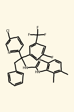 Cc1ccc2nc(NC(Cc3ccccc3)(c3cc(F)cc(C(F)(F)F)c3)c3ccc(Cl)cn3)[nH]c2c1C